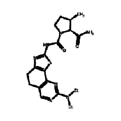 CCN(CC)c1ncc2c(n1)-c1sc(NC(=O)N3CC[C@@H](C)[C@H]3C(N)=O)nc1CC2